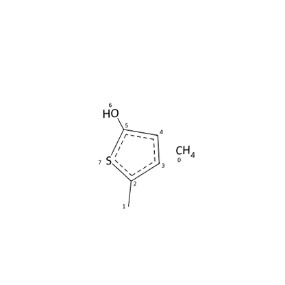 C.Cc1ccc(O)s1